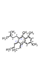 C=C/C=C(\C=C/C)C(/CCC(=C)C)=C(/C)c1c(C)cc(C)cc1F